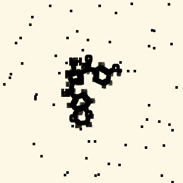 COc1cccc(C(=O)n2nc(Nc3ccc4c(c3)OCCO4)nc2N)c1